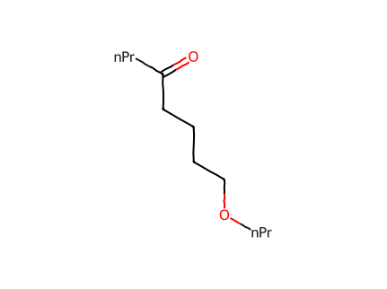 CCCOCCCCC(=O)CCC